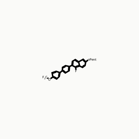 CCCCCc1ccc2c(F)c(-c3ccc(-c4ccc(OC(F)(F)F)cc4)cc3)ccc2c1